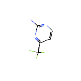 Cl.Nc1nccc(C(F)(F)F)n1